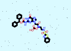 O=C(O)ON(CCNS(=O)(=O)c1nc2ccccc2s1)C(=O)Cn1cnc2c(=O)[nH]c(NC(=O)OC(c3ccccc3)c3ccccc3)nc21